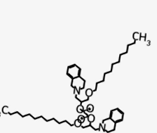 CCCCCCCCCCCCOCC(CN1CCc2ccccc2C1)OS(=O)(=O)OC(COCCCCCCCCCCCC)CN1CCc2ccccc2C1